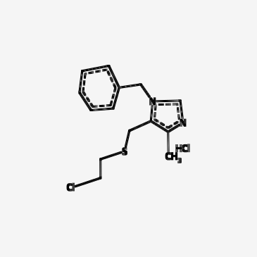 Cc1ncn(Cc2ccccc2)c1CSCCCl.Cl